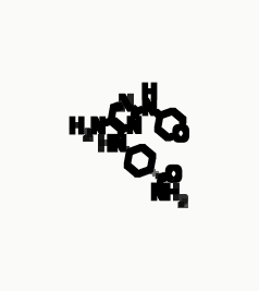 Nc1cnc(NC2CCOCC2)nc1N[C@H]1CC[C@@H](C(N)=O)CC1